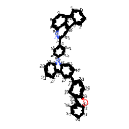 c1ccc2c(c1)-c1cccc3nc(-c4ccc(-n5c6ccccc6c6cc(-c7ccc8oc9ccccc9c8c7)ccc65)cc4)cc-2c13